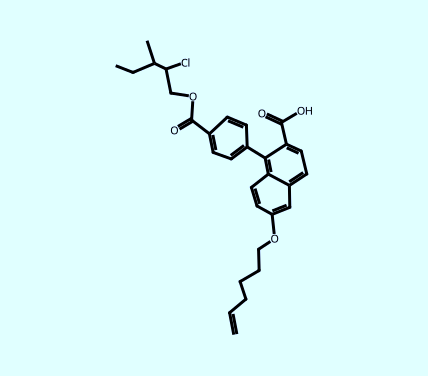 C=CCCCCOc1ccc2c(-c3ccc(C(=O)OCC(Cl)C(C)CC)cc3)c(C(=O)O)ccc2c1